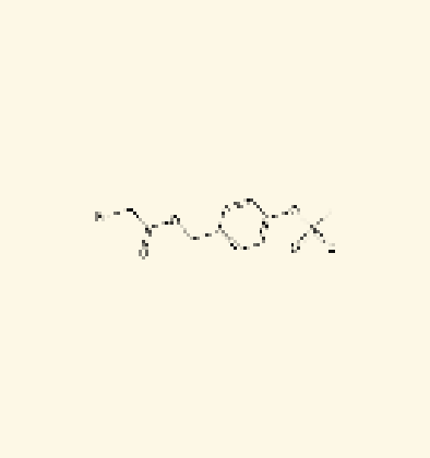 CC(C)CC(=O)OCc1ccc(OS(C)(=O)=O)cc1